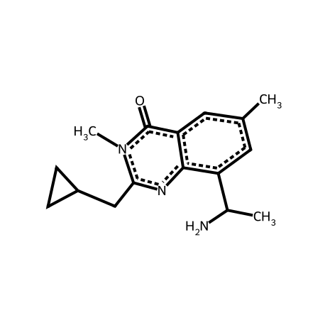 Cc1cc(C(C)N)c2nc(CC3CC3)n(C)c(=O)c2c1